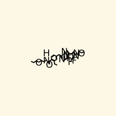 CCCOCCNC(=O)c1ccc(Cc2nccn3c(-c4cn(COC)nc4C(F)(F)F)cnc23)cc1CC